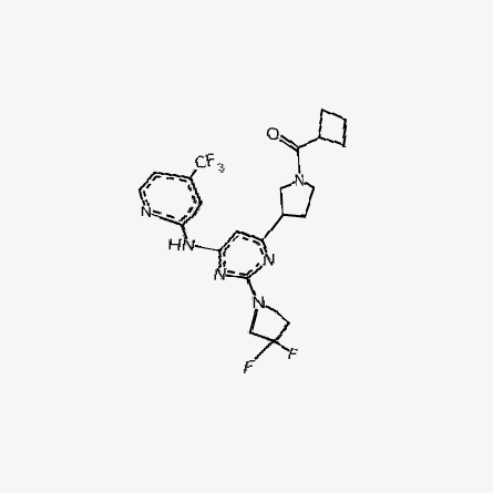 O=C(C1CCC1)N1CCC(c2cc(Nc3cc(C(F)(F)F)ccn3)nc(N3CC(F)(F)C3)n2)C1